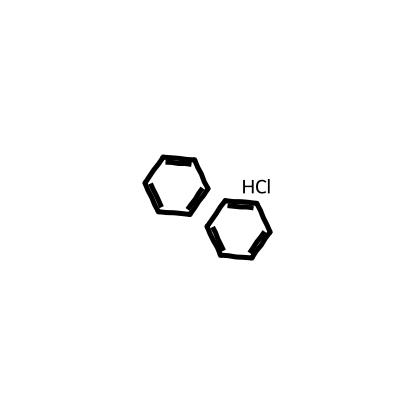 Cl.c1ccccc1.c1ccccc1